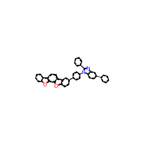 c1ccc(-c2ccc3c(c2)nc(-c2ccccc2)n3-c2ccc(-c3ccc4oc5c(ccc6c7ccccc7oc65)c4c3)cc2)cc1